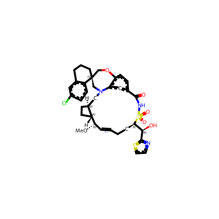 CO[C@H]1/C=C/CC[C@H]([C@@H](O)c2nccs2)S(=O)(=O)NC(=O)c2ccc3c(c2)N(C[C@@H]2CC[C@H]21)C[C@@]1(CCCc2cc(Cl)ccc21)CO3